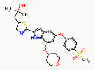 CC(C)(O)CC1CN=C(c2cc3cc(Oc4ccc(S(C)(=O)=O)cc4)cc(OC4CCOCC4)c3[nH]2)S1